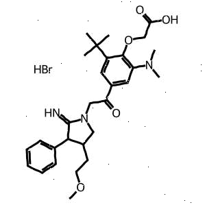 Br.COCCC1CN(CC(=O)c2cc(N(C)C)c(OCC(=O)O)c(C(C)(C)C)c2)C(=N)C1c1ccccc1